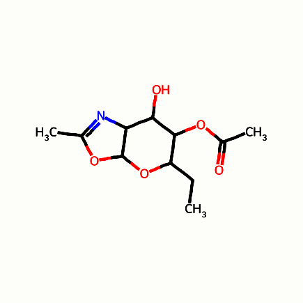 CCC1OC2OC(C)=NC2C(O)C1OC(C)=O